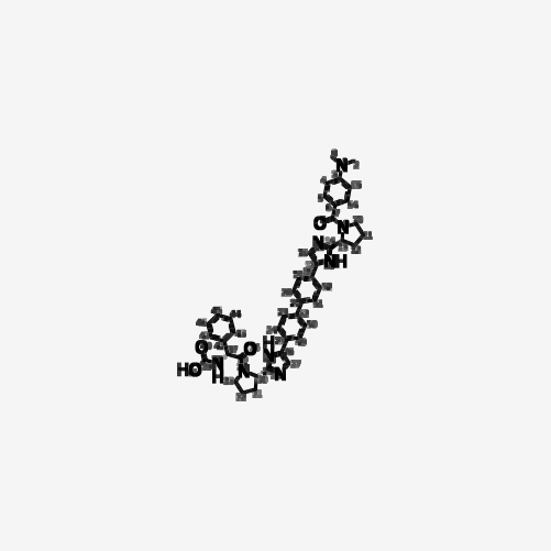 CN(C)c1ccc(C(=O)N2CCC[C@H]2c2ncc(-c3ccc(-c4ccc(-c5cnc([C@@H]6CCCN6C(=O)[C@H](NC(=O)O)c6ccccc6)[nH]5)cc4)cc3)[nH]2)cc1